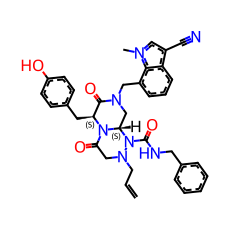 C=CCN1CC(=O)N2[C@@H](Cc3ccc(O)cc3)C(=O)N(Cc3cccc4c(C#N)cn(C)c34)C[C@@H]2N1C(=O)NCc1ccccc1